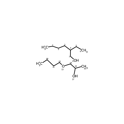 CCCCC(CC)CO.CCCCOCC(C)O